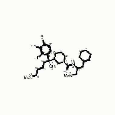 CNCC(CC1CCCCC1)NC(=O)N1CCCC([C@@](O)(CCCCOC)c2ccc(F)c(F)c2F)C1